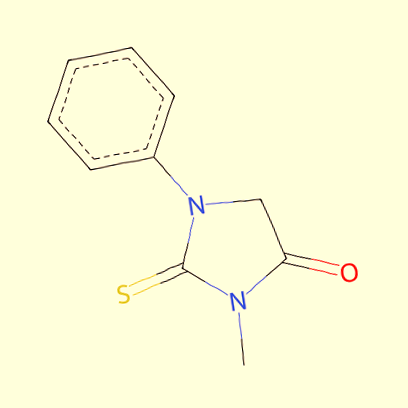 CN1C(=O)CN(c2ccccc2)C1=S